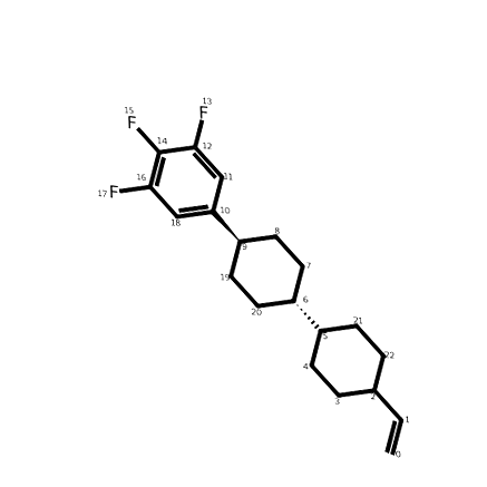 C=CC1CCC([C@H]2CC[C@H](c3cc(F)c(F)c(F)c3)CC2)CC1